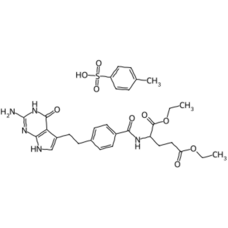 CCOC(=O)CCC(NC(=O)c1ccc(CCc2c[nH]c3nc(N)[nH]c(=O)c23)cc1)C(=O)OCC.Cc1ccc(S(=O)(=O)O)cc1